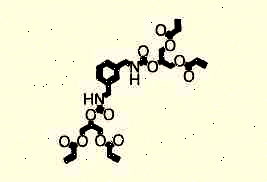 C=CC(=O)OCC(COC(=O)C=C)OC(=O)NCc1cccc(CNC(=O)OC(COC(=O)C=C)COC(=O)C=C)c1